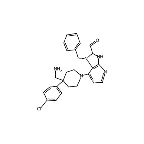 NCC1(c2ccc(Cl)cc2)CCN(c2ncnc3c2N(Cc2ccccc2)C(C=O)N3)CC1